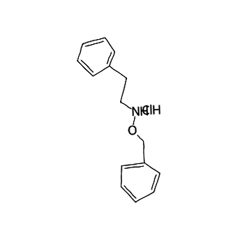 Cl.c1ccc(CCNOCc2ccccc2)cc1